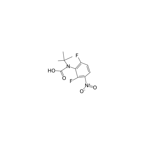 CC(C)(C)N(C(=O)O)c1c(F)ccc([N+](=O)[O-])c1F